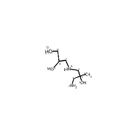 CC(O)(CN)CNCC(O)CO